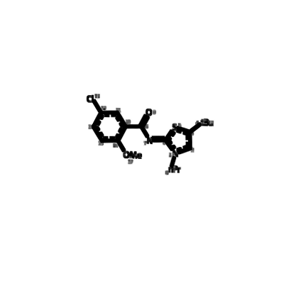 CCCn1cc(C(C)(C)C)sc1=NC(=O)c1cc(Cl)ccc1OC